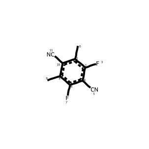 Cc1c(F)c(C#N)c(F)c(C)c1C#N